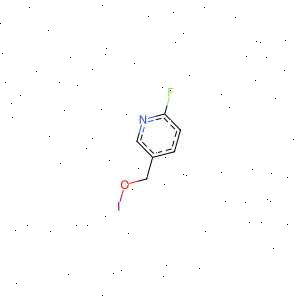 Fc1ccc(COI)cn1